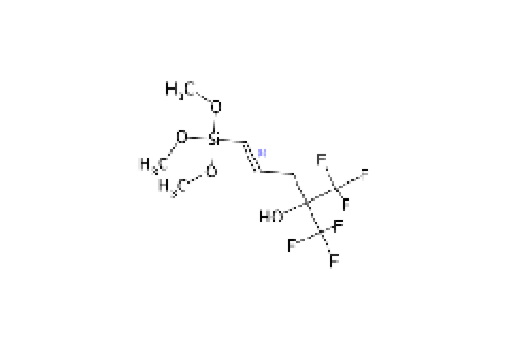 CO[Si](/C=C/CC(O)(C(F)(F)F)C(F)(F)F)(OC)OC